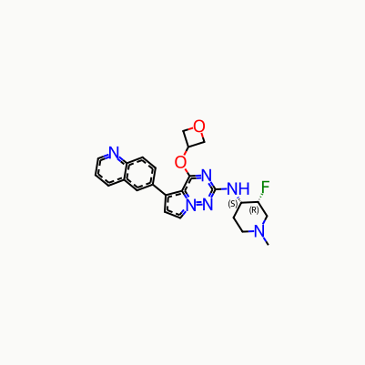 CN1CC[C@H](Nc2nc(OC3COC3)c3c(-c4ccc5ncccc5c4)ccn3n2)[C@H](F)C1